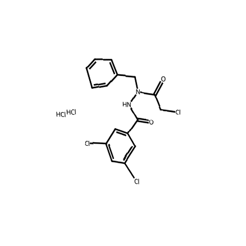 Cl.Cl.O=C(NN(Cc1ccccc1)C(=O)CCl)c1cc(Cl)cc(Cl)c1